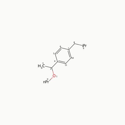 CCCOC(C)c1ccc(CC(C)C)cc1